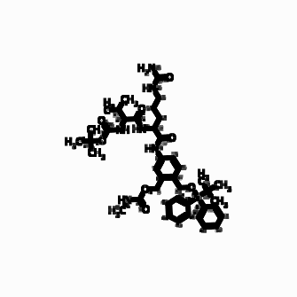 CNC(=O)OCc1cc(NC(=O)C(CCCNC(N)=O)NC(=O)C(NC(=O)OC(C)(C)C)C(C)C)ccc1CO[Si](c1ccccc1)(c1ccccc1)C(C)(C)C